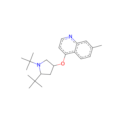 Cc1ccc2c(OC3CC(C(C)(C)C)N(C(C)(C)C)C3)ccnc2c1